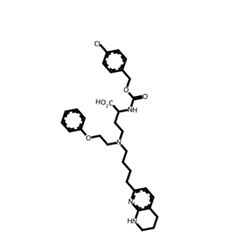 O=C(NC(CCN(CCCCc1ccc2c(n1)NCCC2)CCOc1ccccc1)C(=O)O)OCc1ccc(Cl)cc1